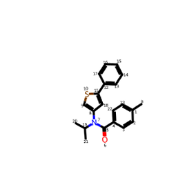 Cc1ccc(C(=O)N(c2csc(-c3ccccc3)c2)C(C)C)cc1